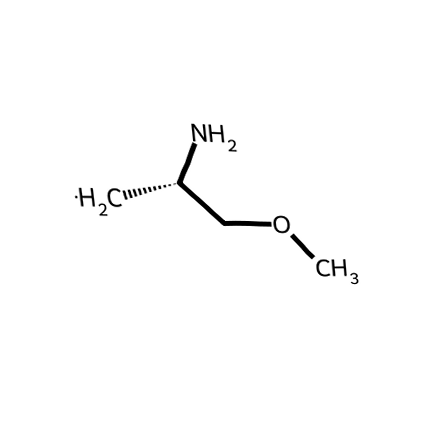 [CH2][C@H](N)COC